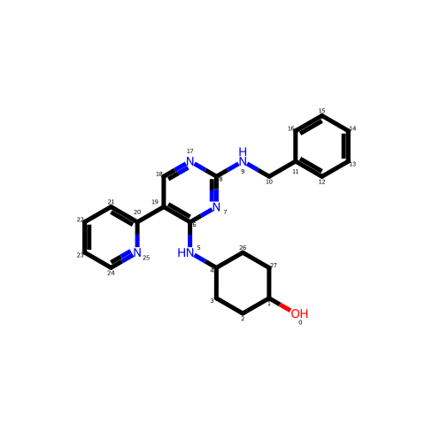 OC1CCC(Nc2nc(NCc3ccccc3)ncc2-c2ccccn2)CC1